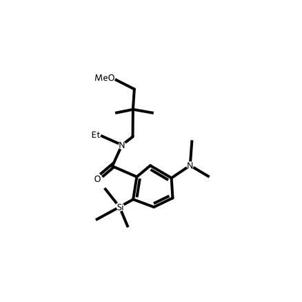 CCN(CC(C)(C)COC)C(=O)c1cc(N(C)C)ccc1[Si](C)(C)C